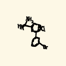 Cl.N=C(N)c1cccc(-c2cccc(Br)c2)c1